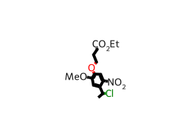 CCOC(=O)CCCOc1cc([N+](=O)[O-])c(C(C)Cl)cc1OC